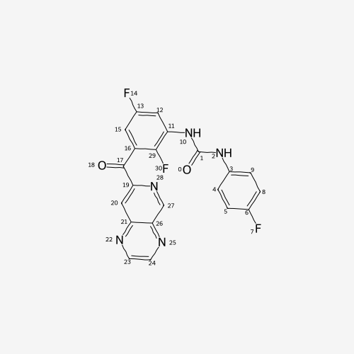 O=C(Nc1ccc(F)cc1)Nc1cc(F)cc(C(=O)c2cc3nccnc3cn2)c1F